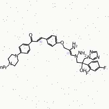 CCCN1CCN(c2ccc(C(=O)/C=C/c3ccc(OC/C(N)=C/N(N)CC(O)(Cn4cncn4)c4ccc(F)cc4F)cc3)cc2)CC1